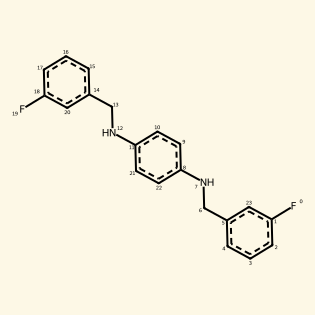 Fc1cccc(CNc2ccc(NCc3cccc(F)c3)cc2)c1